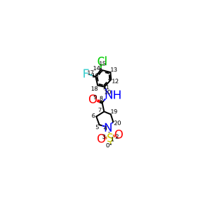 CS(=O)(=O)N1CCC(C(=O)Nc2ccc(Cl)c(F)c2)CC1